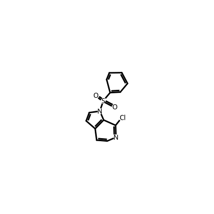 O=S(=O)(c1ccccc1)n1ccc2ccnc(Cl)c21